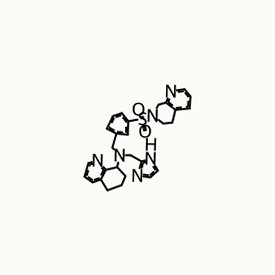 O=S(=O)(c1cccc(CN(Cc2ncc[nH]2)C2CCCc3cccnc32)c1)N1CCc2cccnc2C1